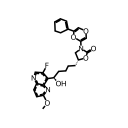 COc1ccc2ncc(F)c([C@H](O)CCCC[C@@H]3CN(C4=COC=C(C5=CC=CCC5)O4)C(=O)O3)c2n1